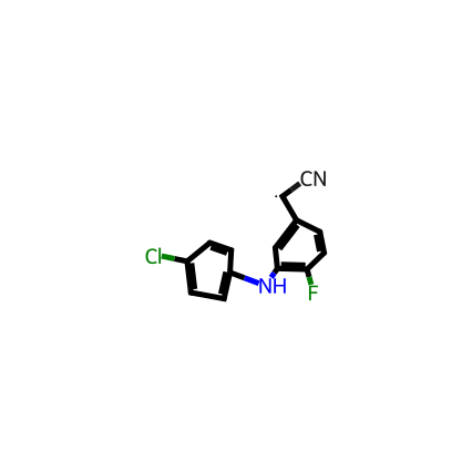 N#C[CH]c1ccc(F)c(Nc2ccc(Cl)cc2)c1